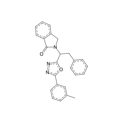 Cc1cccc(-c2nnc(C(Cc3ccccc3)N3Cc4ccccc4C3=O)o2)c1